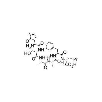 CC(C)C[C@H](NC(=O)[C@H](Cc1ccccc1)NC(=O)[C@H](C)NC(=O)[C@H](C)NC(=O)[C@@H](NC(=O)[C@@H](N)CC(N)=O)[C@@H](C)O)C(=O)O